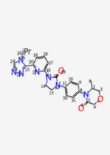 CC1COCC(=O)N1c1ccc(N2CCN(c3cccc(-c4nncn4C(C)C)n3)C2=O)cc1